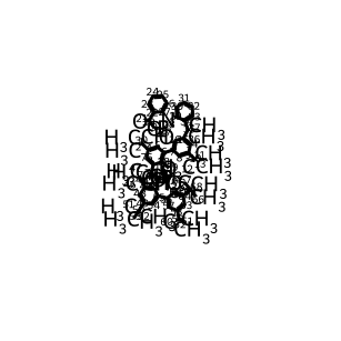 CC(C)(C)c1cc(-c2cc(C(C)(C)C)cc3c2OP2OC(=O)c4ccccc4N2c2ccccc2C3(C)C)c(Op2oc3c(C(C)(C)C)cc(C(C)(C)C)cc3c3cc(C(C)(C)C)cc(C(C)(C)C)c3o2)c(C(C)(C)C)c1